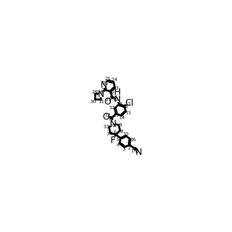 N#Cc1ccc(C2(F)CCN(C(=O)c3ccc(Cl)c(NC(=O)c4cccnc4N4CCC4)c3)CC2)cc1